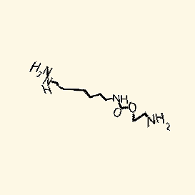 NCCOC(=O)NCCCCCCNN